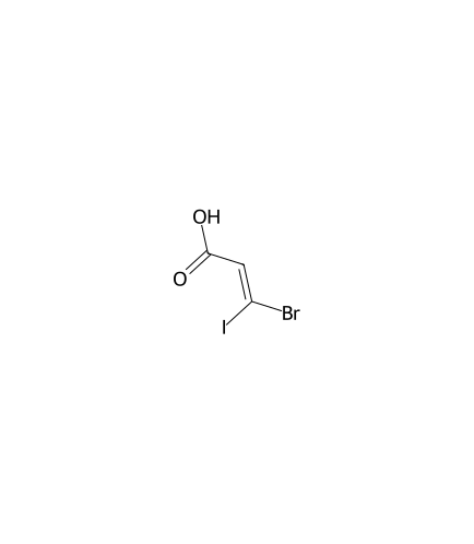 O=C(O)C=C(Br)I